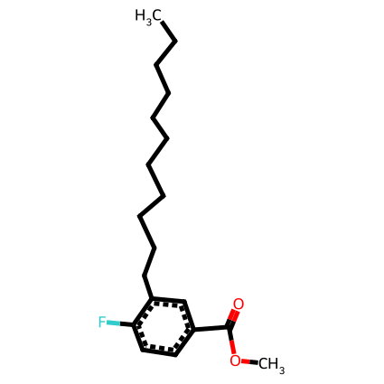 CCCCCCCCCCCc1cc(C(=O)OC)ccc1F